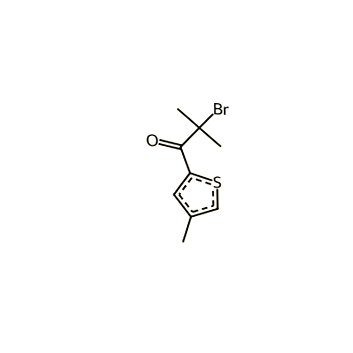 Cc1csc(C(=O)C(C)(C)Br)c1